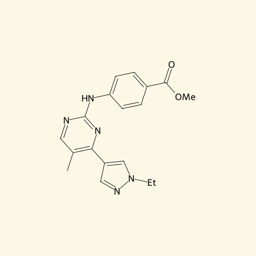 CCn1cc(-c2nc(Nc3ccc(C(=O)OC)cc3)ncc2C)cn1